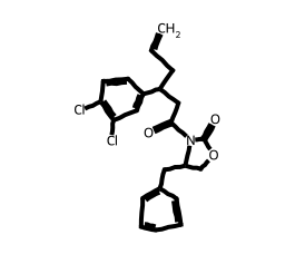 C=CCC(CC(=O)N1C(=O)OCC1Cc1ccccc1)c1ccc(Cl)c(Cl)c1